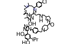 C=C1S/C(C)=C(/C)C/C(c2ccc(Cl)cc2)=N\[C@@H](CCNCC2CCN(C(=O)C3CCN(Cc4ccc(-n5c(O)nnc5-c5cc(C(C)C)c(O)cc5O)cc4)CC3)C2)c2nnc(C)n21